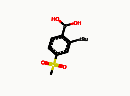 CC(C)(C)c1cc(S(C)(=O)=O)ccc1B(O)O